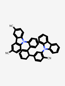 N#Cc1ccc2c(c1)c1cc(C#N)ccc1n2-c1ccccc1C1=CC=CCC1c1ccc(C#N)c(-n2c3ccccc3c3ccccc32)c1